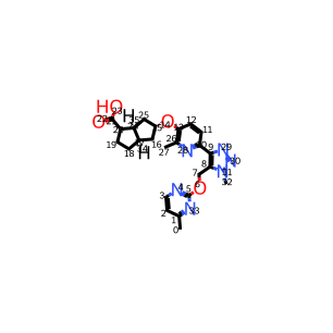 Cc1ccnc(OCc2c(-c3ccc(O[C@@H]4C[C@H]5CCC(C(=O)O)[C@H]5C4)c(C)n3)nnn2C)n1